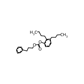 CCCCc1cccc(OC(=O)OCCCc2ccccc2)c1CCCC